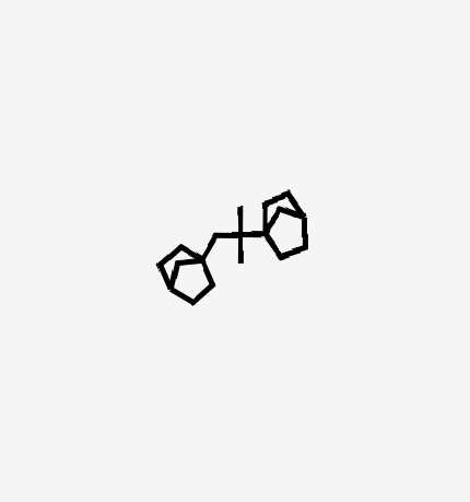 CC(C)(CC12CCC(CC1)C2)C12CCC(CC1)C2